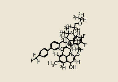 [2H]C1=C(SC([2H])([2H])c2cccc(F)c2F)N(CC(=O)N(Cc2ccc(-c3ccc(C(F)(F)F)cc3)cc2)C2([2H])C([2H])([2H])C([2H])([2H])N(C([2H])([2H])COC([2H])([2H])[2H])C([2H])([2H])C2([2H])[2H])c2c([2H])c([2H])c(C)c([2H])c2C1O